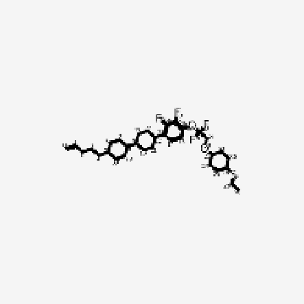 C=CCCCC1CCC(C2CCC(c3ccc(OC(F)(F)COC4CCC(SCC)CC4)c(F)c3F)CC2)CC1